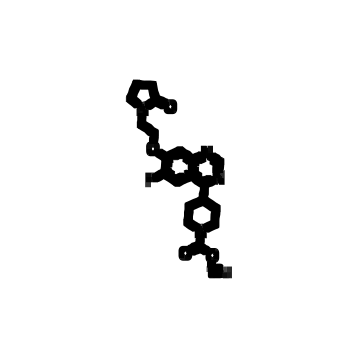 CC(C)(C)OC(=O)N1CCC(c2ncnc3cc(OCCN4CCCC4=O)c(F)cc23)CC1